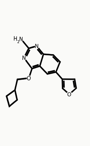 Nc1nc(OCC2CCC2)c2cc(-c3ccoc3)ccc2n1